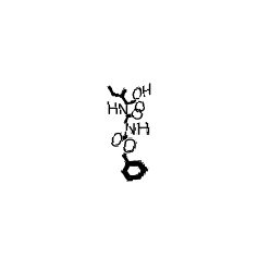 CCC(C)C(NC(=O)CNC(=O)OCc1ccccc1)C(=O)O